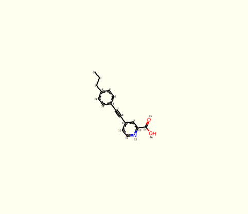 CCCc1ccc(C#Cc2ccnc(C(=O)O)c2)cc1